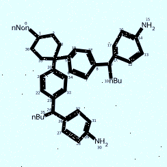 CCCCCCCCCC1CCC(c2ccc(C(CCCC)c3ccc(N)cc3)cc2)(c2ccc(C(CCCC)c3ccc(N)cc3)cc2)CC1